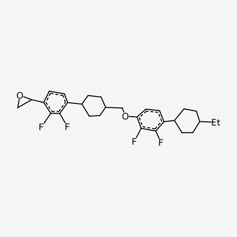 CCC1CCC(c2ccc(OCC3CCC(c4ccc(C5CO5)c(F)c4F)CC3)c(F)c2F)CC1